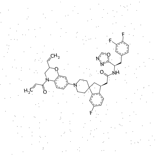 C=CC(=O)N1CC(C=C)Oc2cc(N3CCC4(CC3)C[C@@H](CC(=O)N[C@H](Cc3ccc(F)c(F)c3)c3nnco3)c3ccc(F)cc34)ccc21